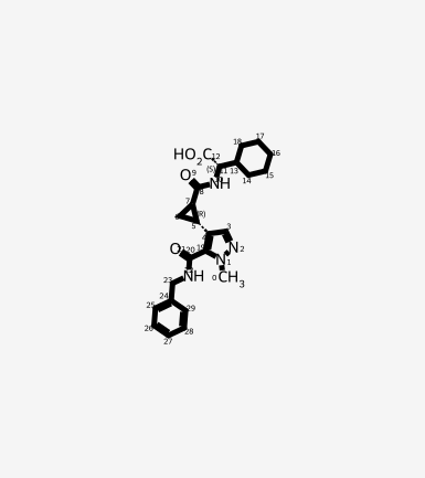 Cn1ncc([C@@H]2CC2C(=O)N[C@H](C(=O)O)C2CCCCC2)c1C(=O)NCc1ccccc1